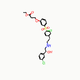 CCOC(=O)CCOc1cccc(S(=O)(=O)c2ccc(CCNC[C@H](O)c3cccc(Cl)c3)cc2)c1.Cl